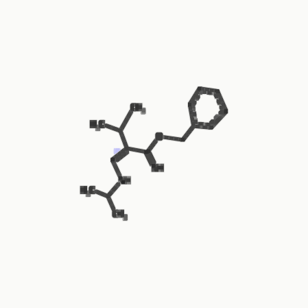 CC(C)N/C=C(\C(=N)OCc1ccccc1)C(C)C